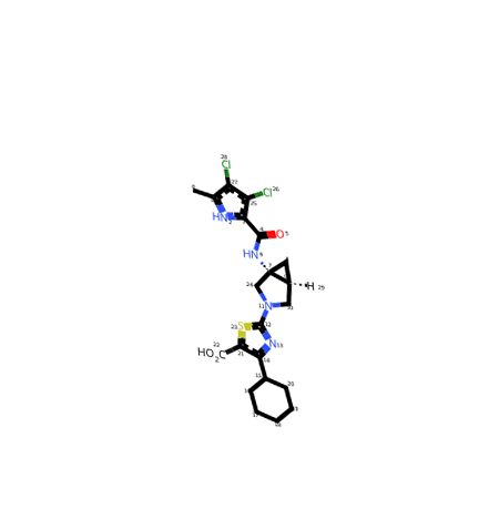 Cc1[nH]c(C(=O)N[C@]23C[C@H]2CN(c2nc(C4CCCCC4)c(C(=O)O)s2)C3)c(Cl)c1Cl